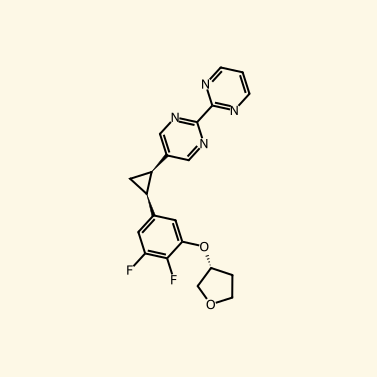 Fc1cc([C@H]2C[C@H]2c2cnc(-c3ncccn3)nc2)cc(O[C@@H]2CCOC2)c1F